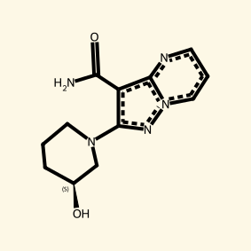 NC(=O)c1c(N2CCC[C@H](O)C2)nn2cccnc12